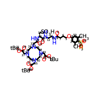 Cc1cc(OCCCC(=O)NCCNC(=O)[C@H](CS(=O)(=O)O)NC(=O)CN2CCN(CC(=O)OC(C)(C)C)CCN(CC(=O)OC(C)(C)C)CCN(CC(=O)OC(C)(C)C)CC2)cc(C)c1[SH](=O)=O